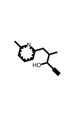 C#CC(O)C(C)Cc1cccc(C)n1